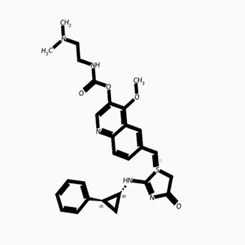 COc1c(OC(=O)NCCN(C)C)cnc2ccc(/C=S3/CC(=O)N=C3N[C@@H]3C[C@H]3c3ccccc3)cc12